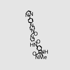 CNC(=O)c1n[nH]c2ccc(NC(=O)[C@@H]3CCN(CC(=O)N4CCN(c5ccc(-c6ncccn6)cc5)CC4)C3)cc12